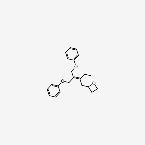 CCC(CC1CCO1)=C(COc1ccccc1)COc1ccccc1